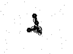 COC(=O)[C@@H](C)NC(=O)[C@H](Cc1ccc(OCc2ccccc2)cc1)N(C)C(=O)OCc1ccccc1